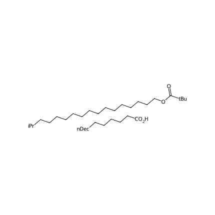 CC(C)CCCCCCCCCCCCCCCOC(=O)C(C)(C)C.CCCCCCCCCCCCCCCC(=O)O